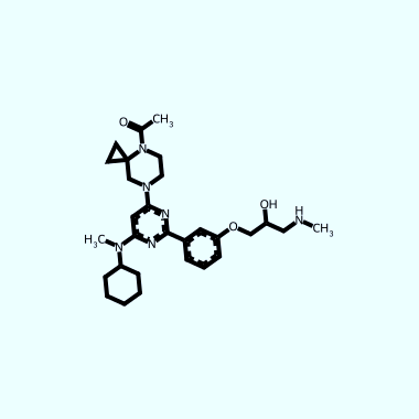 CNCC(O)COc1cccc(-c2nc(N3CCN(C(C)=O)C4(CC4)C3)cc(N(C)C3CCCCC3)n2)c1